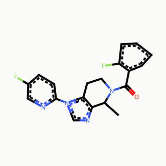 CC1c2ncn(-c3ccc(F)cn3)c2CCN1C(=O)c1ccccc1F